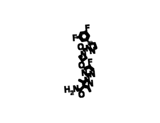 Cc1nn(-c2ncc(F)c(OC3CN(C(=O)N4N=CC[C@H]4c4cc(F)cc(F)c4)C3)n2)c(C)c1C(N)=O